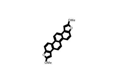 COc1cc2c(ccc3c2ccc2c4ccc5oc(OC)cc5c4ccc32)o1